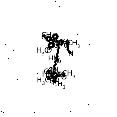 COc1ccc(C(OC[C@@H]2C[C@@H](OP(C)OCCC#N)CN2C(=O)CCCCCNC(=O)CCCCOC2OC(COC(C)=O)C(OC(C)=O)C(OC(C)=O)C2NC(C)=O)(c2ccccc2)c2ccc(OC)cc2)cc1